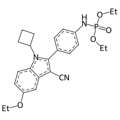 CCOc1ccc2c(c1)c(C#N)c(-c1ccc(NP(=O)(OCC)OCC)cc1)n2C1CCC1